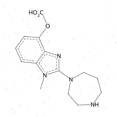 Cn1c(N2CCCNCC2)nc2c(OC(=O)O)cccc21